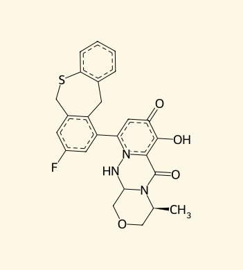 C[C@H]1COCC2Nn3c(-c4cc(F)cc5c4Cc4ccccc4SC5)cc(=O)c(O)c3C(=O)N21